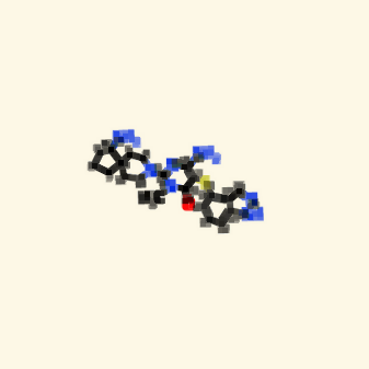 Cn1c(N2CCC3(CCC[C@H]3N)CC2)nc(N)c(Sc2cccc3[nH]ncc23)c1=O